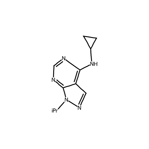 CC(C)n1ncc2c(NC3CC3)ncnc21